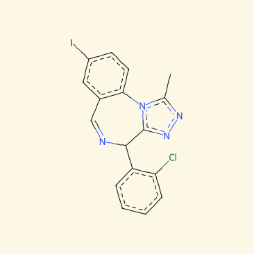 Cc1nnc2n1-c1ccc(I)cc1C=NC2c1ccccc1Cl